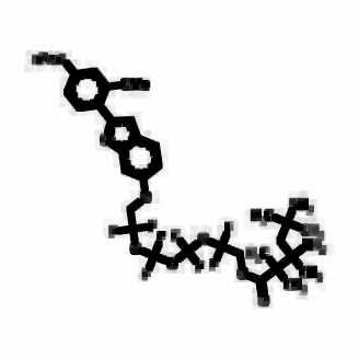 CCCCCc1ccc(-c2cc3ccc(OCC(F)(F)OC(F)(F)OC(F)(F)OC(F)(F)COC(=O)C(C)(C)C(C)(N)CC(C)(C)N)cc3o2)c(OC)c1